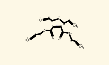 C=CCOC(=O)/C=C\C(=O)OCC=C.C=CCSCC=C